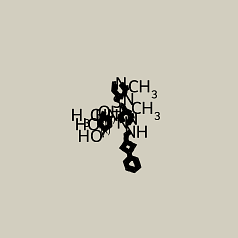 Cc1nc(NCC2CC(c3ccccc3)C2)nc(N[C@@H]2C[C@H](CO)[C@@H](O)[C@@]2(C)O)c1-c1nc2c(C)nccc2s1